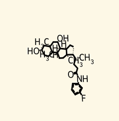 C[C@H](CCC(=O)Nc1cccc(F)c1)[C@H]1CC[C@H]2[C@@H]3[C@@H](O)C[C@]4(C)C[C@H](O)CC[C@]4(C)[C@H]3CC[C@]12C